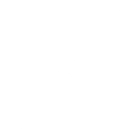 CCCCCCCCC=CCCCCCCCC(=O)C(CCCCCCCCCCCCCC)C(=O)O